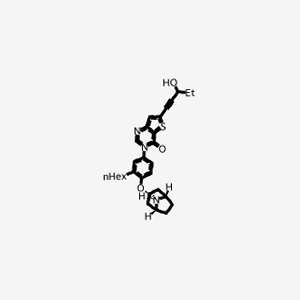 CCCCCCc1cc(-n2cnc3cc(C#CC(O)CC)sc3c2=O)ccc1O[C@H]1C[C@H]2CC[C@@H](C1)N2C